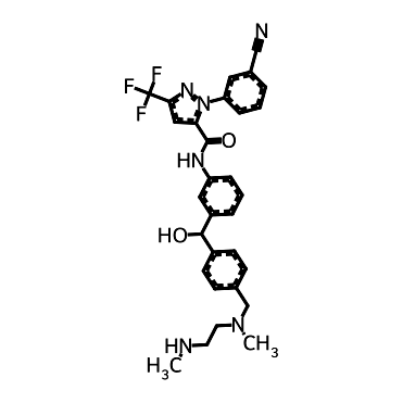 CNCCN(C)Cc1ccc(C(O)c2cccc(NC(=O)c3cc(C(F)(F)F)nn3-c3cccc(C#N)c3)c2)cc1